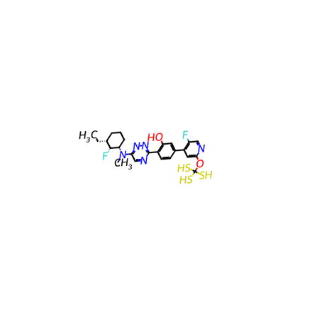 CC[C@@H]1CCC[C@H](N(C)c2cnc(-c3ccc(-c4cc(OC(S)(S)S)ncc4F)cc3O)nn2)[C@@H]1F